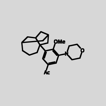 COc1c(N2CCOCC2)cc(C(C)=O)cc1C12CCCC3CC(CC1C3)C2